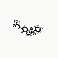 O=C(O)/C=C/c1ccc2c(ccn2S(=O)(=O)c2ccccc2)c1